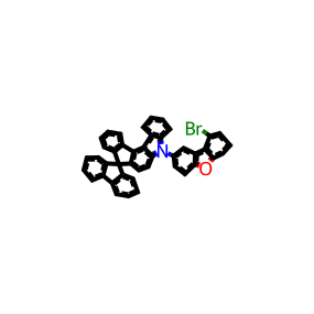 Brc1cccc2oc3ccc(-n4c5ccccc5c5c6c(ccc54)C4(c5ccccc5-c5ccccc54)c4ccccc4-6)cc3c12